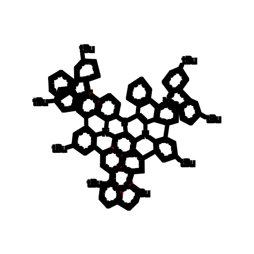 CC(C)(C)c1cc(-c2cc3c4c(c2)N(c2c(-c5cccc(-c6ccccc6)c5)cc(C(C)(C)C)cc2-c2cccc(-c5ccccc5)c2)c2cc(-n5c6ccc(C(C)(C)C)cc6c6cc(C(C)(C)C)ccc65)ccc2B4C2=C(C=C(n4c5ccc(C(C)(C)C)cc5c5cc(C(C)(C)C)ccc54)CC2)N3c2c(-c3cccc(-c4ccccc4)c3)cc(C(C)(C)C)cc2-c2cccc(-c3ccccc3)c2)cc(C(C)(C)C)c1